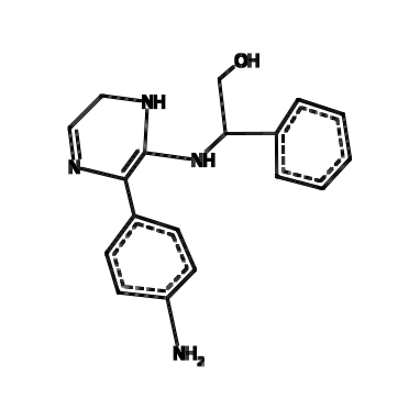 Nc1ccc(C2=C(NC(CO)c3ccccc3)NCC=N2)cc1